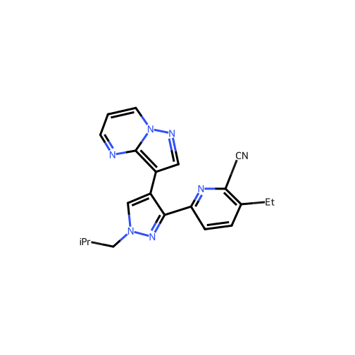 CCc1ccc(-c2nn(CC(C)C)cc2-c2cnn3cccnc23)nc1C#N